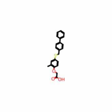 Cc1cc(SCc2ccc(-c3ccccc3)cc2)ccc1OCC(=O)O